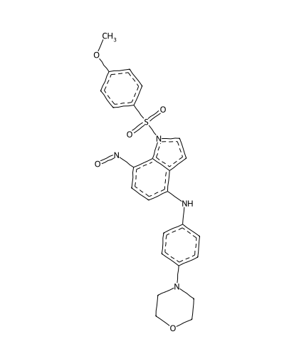 COc1ccc(S(=O)(=O)n2ccc3c(Nc4ccc(N5CCOCC5)cc4)ccc(N=O)c32)cc1